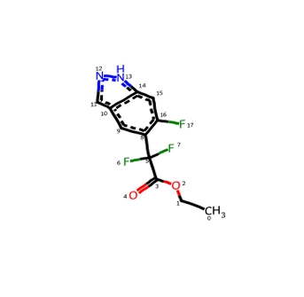 CCOC(=O)C(F)(F)c1cc2cn[nH]c2cc1F